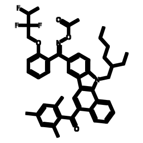 CCCCC(CC)Cn1c2ccc(/C(=N\OC(C)=O)c3ccccc3OCC(F)(F)C(C)F)cc2c2cc(C(=O)c3c(C)cc(C)cc3C)c3ccccc3c21